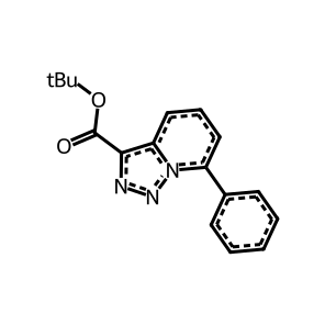 CC(C)(C)OC(=O)c1nnn2c(-c3ccccc3)cccc12